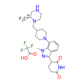 Cn1nc(C2CCC(=O)NC2=O)c2cccc(N3CCC(CN4CCNC[C@@H]4C(F)(F)F)CC3)c21.O=C(O)C(F)(F)F